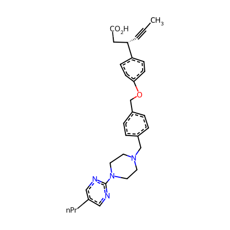 CC#C[C@@H](CC(=O)O)c1ccc(OCc2ccc(CN3CCN(c4ncc(CCC)cn4)CC3)cc2)cc1